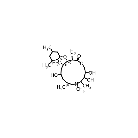 CC1CC(C)O[C@@H](O[C@@H]2C(C)C(=O)OCC(O)C(O)C(C)N(C)C[C@H](C)CC(O)C[C@H]2C)C1